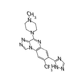 CN1CCN(c2nc3cc(-c4ncn[nH]4)c(C(F)(F)F)cc3n3cnnc23)CC1